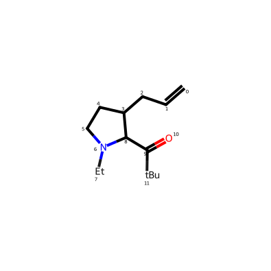 C=CCC1CCN(CC)C1C(=O)C(C)(C)C